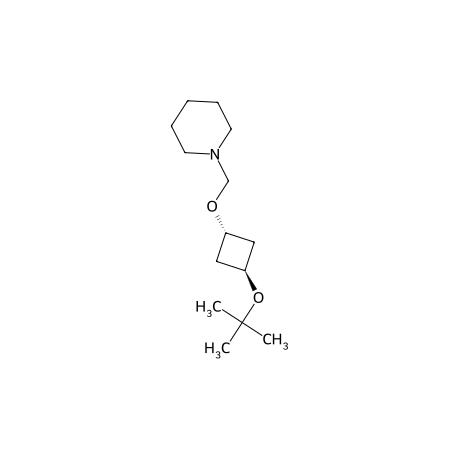 CC(C)(C)O[C@H]1C[C@H](OCN2CCCCC2)C1